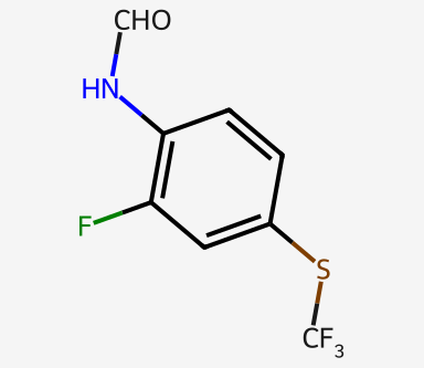 O=CNc1ccc(SC(F)(F)F)cc1F